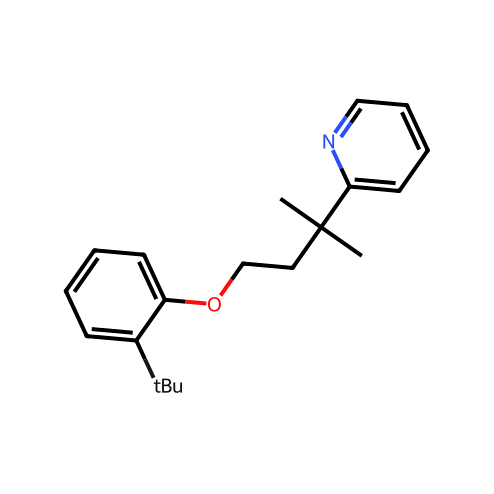 CC(C)(C)c1ccccc1OCCC(C)(C)c1ccccn1